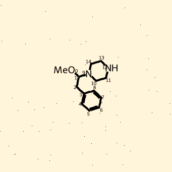 COC(Cc1ccccc1)N1CCNCC1